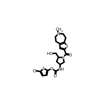 CN1CCc2cc(C(=O)N3CC(NC(=O)Oc4ccc(Cl)s4)CC3CO)sc2CC1